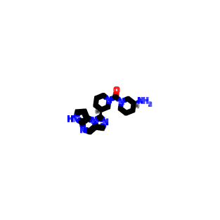 N[C@@H]1CCCN(C(=O)N2CCC[C@@H](c3ncc4cnc5[nH]ccc5n34)C2)C1